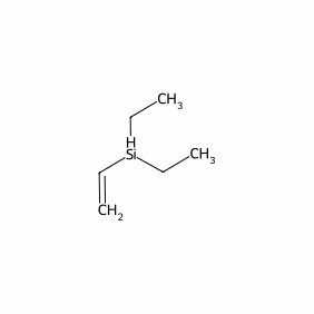 C=C[SiH](CC)CC